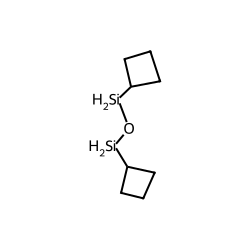 C1CC([SiH2]O[SiH2]C2CCC2)C1